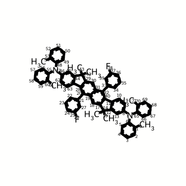 Cc1ccccc1N(c1ccc2c(c1)C(C)(C)c1cc3c(-c4cccc(F)c4)c4c(cc3c(-c3cccc(F)c3)c1-2)C(C)(C)c1cc(N(c2ccccc2C)c2ccccc2C)ccc1-4)c1ccccc1C